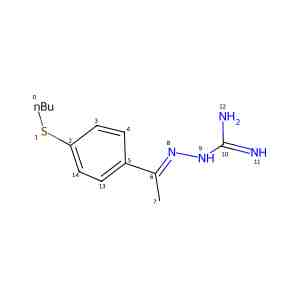 CCCCSc1ccc(C(C)=NNC(=N)N)cc1